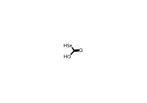 O=C(O)[SeH]